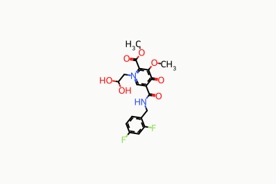 COC(=O)c1c(OC)c(=O)c(C(=O)NCc2ccc(F)cc2F)cn1CC(O)O